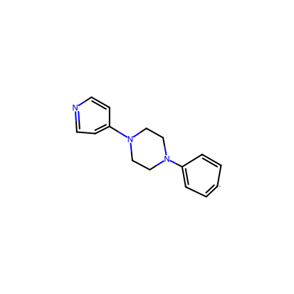 [c]1ccc(N2CCN(c3ccncc3)CC2)cc1